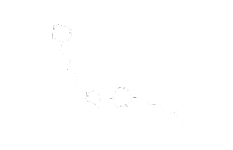 CN(C)CCCOc1ccc(-c2nnc(CSCCOc3ccccc3F)o2)cc1